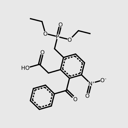 CCOP(=O)(Cc1ccc([N+](=O)[O-])c(C(=O)c2ccccc2)c1CC(=O)O)OCC